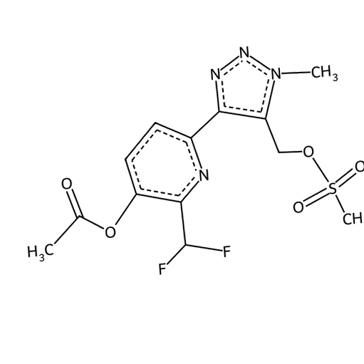 CC(=O)Oc1ccc(-c2nnn(C)c2COS(C)(=O)=O)nc1C(F)F